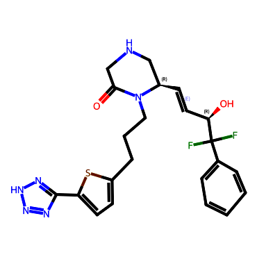 O=C1CNC[C@@H](/C=C/[C@@H](O)C(F)(F)c2ccccc2)N1CCCc1ccc(-c2nn[nH]n2)s1